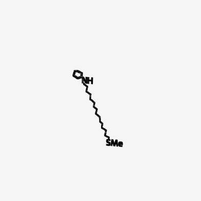 CSCCCCCCCCCCCCCCCCNc1ccccc1